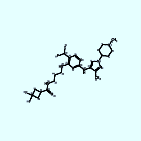 Cc1nn(C2CCN(C)CC2)cc1Nc1ncc(C(F)F)c(NCCCNC(=O)C2CC(F)(F)C2)n1